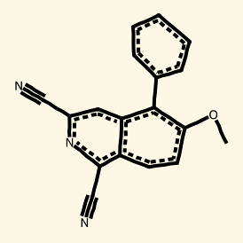 COc1ccc2c(C#N)nc(C#N)cc2c1-c1ccccc1